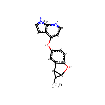 CCOC(=O)C1C2Oc3ccc(Oc4ccnc5[nH]ccc45)cc3C21